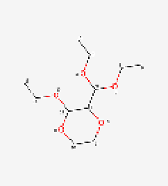 CCOC(OCC)C1OCCOC1OCC